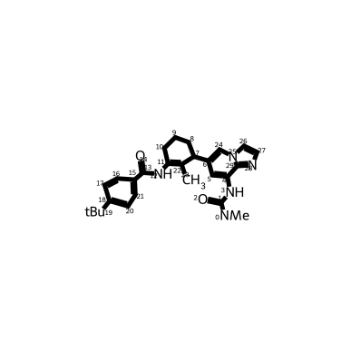 CNC(=O)Nc1cc(C2CCCC(NC(=O)c3ccc(C(C)(C)C)cc3)=C2C)cn2ccnc12